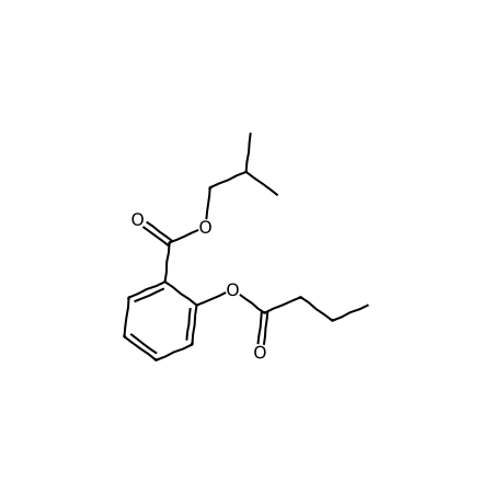 CCCC(=O)Oc1ccccc1C(=O)OCC(C)C